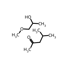 CC(=O)CC(C)C.COCC(C)O